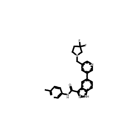 C=C(C)/C=C\C(=C/C)NC(=O)c1n[nH]c2ccc(-c3cncc(CN4CCC(F)(F)C4)c3)cc12